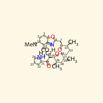 CNc1ccc2oc(C[C@@H]3OC4(CC[C@@H]3C)O[C@H](C(C)C(=O)c3ccc[nH]3)[C@H](C)C[C@H]4C)nc2c1C(=O)O